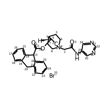 O=C(C[N+]12CCC(CC1)[C@@H](OC(=O)C1c3ccccc3Cc3ccccc31)C2)Nc1cncnc1.[Br-]